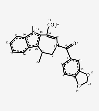 CC1CN(C(=O)c2ccc3c(c2)OCO3)C=C(C(=O)O)c2[nH]c3ccccc3c21